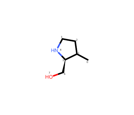 CC1CCN[C@@H]1CO